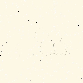 CNCCC(Cc1cccc(C)c1)c1ccccc1